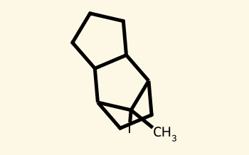 CC1(I)C2CCC1C1CCCC12